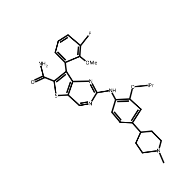 COc1c(F)cccc1-c1c(C(N)=O)sc2cnc(Nc3ccc(C4CCN(C)CC4)cc3OC(C)C)nc12